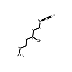 CSCCC(O)CCN=C=S